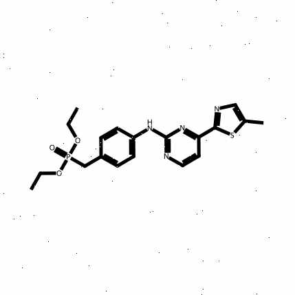 CCOP(=O)(Cc1ccc(Nc2nccc(-c3ncc(C)s3)n2)cc1)OCC